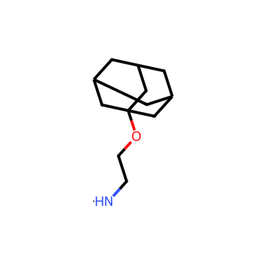 [NH]CCOC12CC3CC(CC(C3)C1)C2